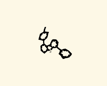 Cc1ccc(-c2cccc3sc4c(-c5ccccc5)cccc4c23)cc1